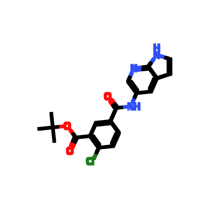 CC(C)(C)OC(=O)c1cc(C(=O)Nc2cnc3[nH]ccc3c2)ccc1Cl